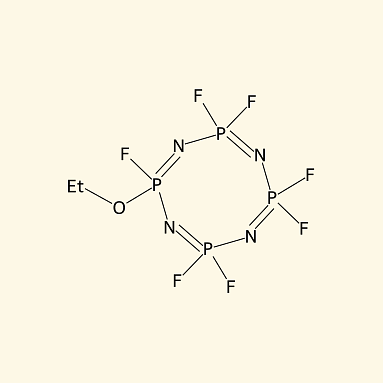 CCOP1(F)=NP(F)(F)=NP(F)(F)=NP(F)(F)=N1